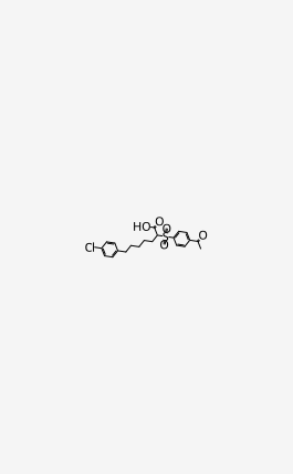 CC(=O)c1ccc(S(=O)(=O)C(CCCCCc2ccc(Cl)cc2)C(=O)O)cc1